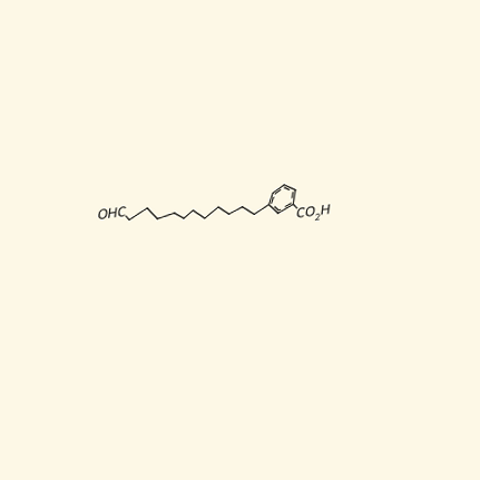 O=CCCCCCCCCCCCc1cccc(C(=O)O)c1